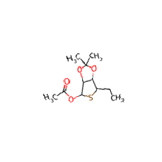 CCC1SC(OC(C)=O)C2OC(C)(C)OC12